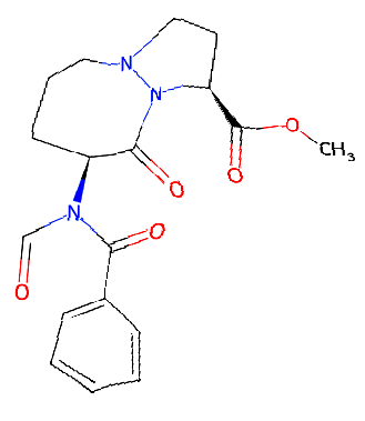 COC(=O)[C@@H]1CCN2CCC[C@H](N(C=O)C(=O)c3ccccc3)C(=O)N12